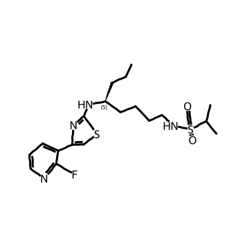 CCC[C@@H](CCCCNS(=O)(=O)C(C)C)Nc1nc(-c2cccnc2F)cs1